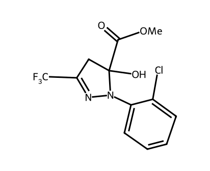 COC(=O)C1(O)CC(C(F)(F)F)=NN1c1ccccc1Cl